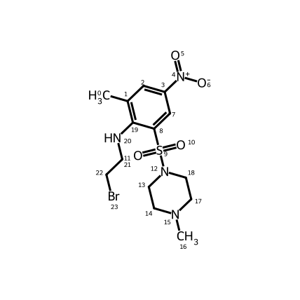 Cc1cc([N+](=O)[O-])cc(S(=O)(=O)N2CCN(C)CC2)c1NCCBr